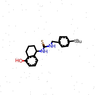 CC(C)(C)c1ccc(CNC(=S)NC2CCCc3c(O)cccc32)cc1